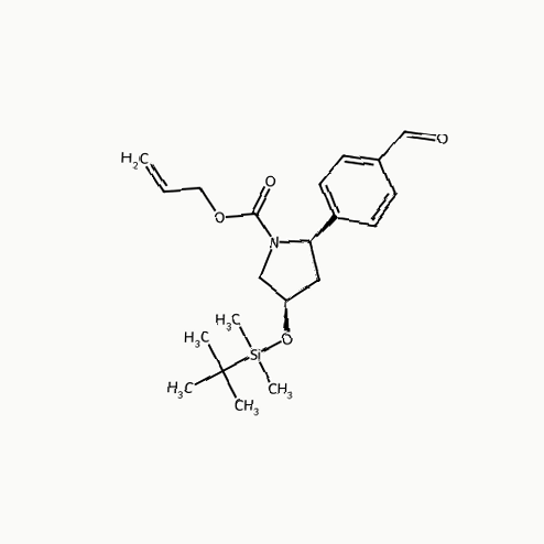 C=CCOC(=O)N1C[C@H](O[Si](C)(C)C(C)(C)C)C[C@@H]1c1ccc(C=O)cc1